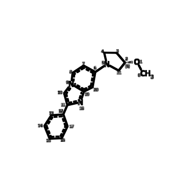 CO[C@H]1CCN(c2ccn3cc(-c4ccccc4)nc3c2)C1